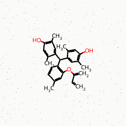 C=CC(=C)Oc1cc(C)ccc1C(c1cc(C)c(O)cc1C)c1cc(C)c(O)cc1C